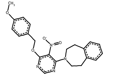 COc1ccc(COc2ncnc(N3CCc4ccccc4CC3)c2[N+](=O)[O-])cc1